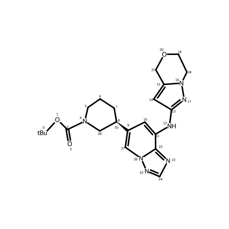 CC(C)(C)OC(=O)N1CCC[C@@H](c2cc(Nc3cc4n(n3)CCOC4)c3ncnn3c2)C1